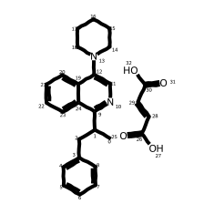 CC(Cc1ccccc1)c1ncc(N2CCCCC2)c2ccccc12.O=C(O)C=CC(=O)O